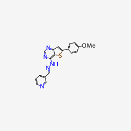 COc1ccc(-c2cc3ncnc(NN=Cc4cccnc4)c3s2)cc1